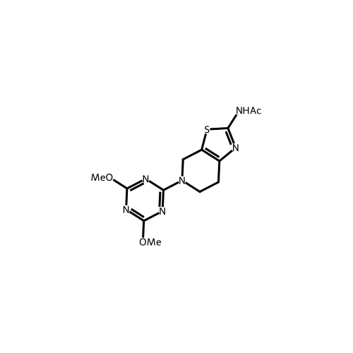 COc1nc(OC)nc(N2CCc3nc(NC(C)=O)sc3C2)n1